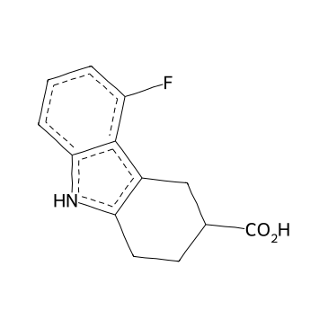 O=C(O)C1CCc2[nH]c3cccc(F)c3c2C1